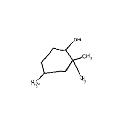 CC1CCC(O)C(C)(C)C1